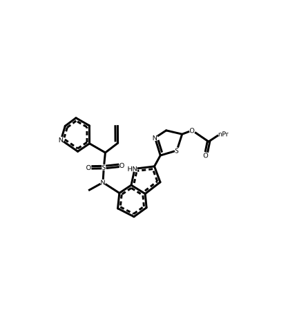 C=CC(c1cccnc1)S(=O)(=O)N(C)c1cccc2cc(C3=NCC(OC(=O)CCC)S3)[nH]c12